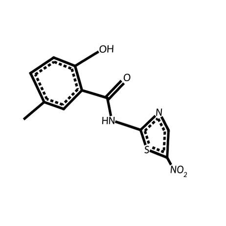 Cc1ccc(O)c(C(=O)Nc2ncc([N+](=O)[O-])s2)c1